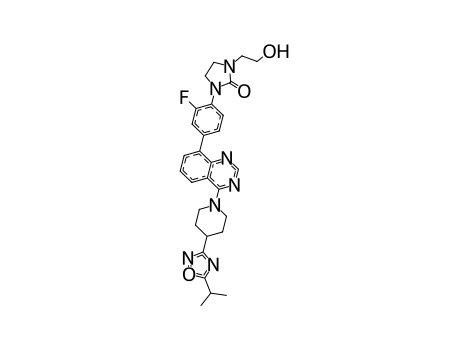 CC(C)c1nc(C2CCN(c3ncnc4c(-c5ccc(N6CCN(CCO)C6=O)c(F)c5)cccc34)CC2)no1